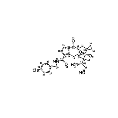 CC(C)([C@H](N)CO)S(=O)(=O)C1(CN2CCn3c(C(=O)NCc4ccc(Cl)cc4)ccc3C2=O)CC1